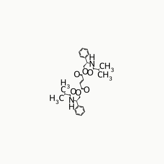 CC(C)C(=O)N[C@@H](COC(=O)/C=C/C(=O)OC[C@H](NC(=O)C(C)C)c1ccccc1)c1ccccc1